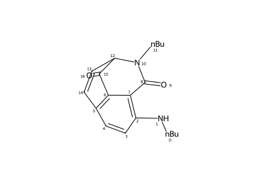 CCCCNc1ccc2c3c1C(=O)N(CCCC)C(C=C2)C3=O